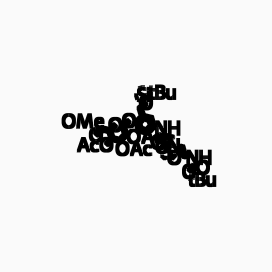 COC(=O)C1OC(Oc2ccc(NC(=O)CN(CCNC(=O)OC(C)(C)C)S(C)(=O)=O)cc2CO[Si](C)(C)C(C)(C)C)C(OC(C)=O)C(OC(C)=O)C1OC(C)=O